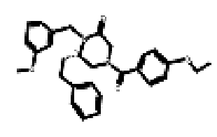 CCOc1ccc(C(=O)N2CC(=O)N(Cc3cccc(OC)c3)[C@@H](CCc3ccccc3)C2)cc1